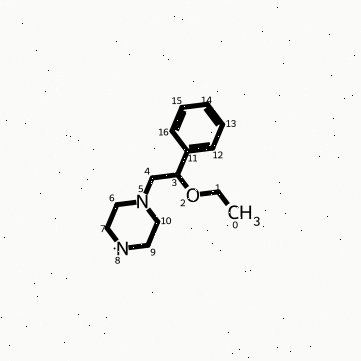 CCOC(CN1CC[N]CC1)c1ccccc1